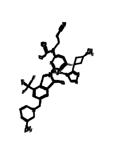 C[C@H]1CCCN(Cc2cc3c(c(C(F)(F)F)c2)CN(c2cc([C@]4(c5nncn5C)C[C@@H](C)C4)cc(N(CCC#N)C(=O)Cl)n2)C3=O)C1